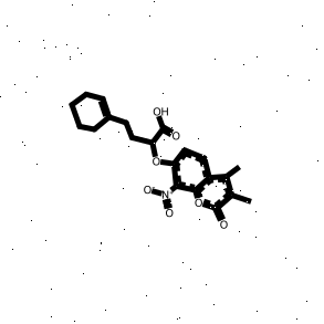 Cc1c(C)c2ccc(OC(CCC3=CCCCC3)C(=O)O)c([N+](=O)[O-])c2oc1=O